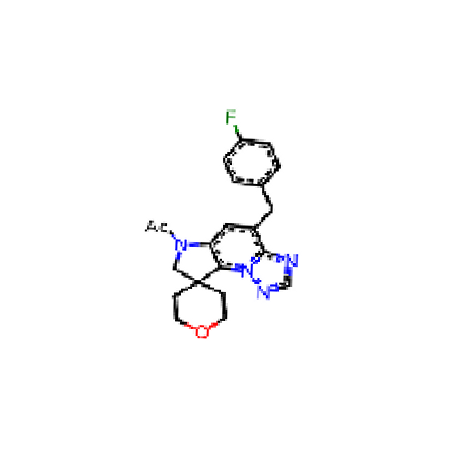 CC(=O)N1CC2(CCOCC2)c2c1cc(Cc1ccc(F)cc1)c1ncnn21